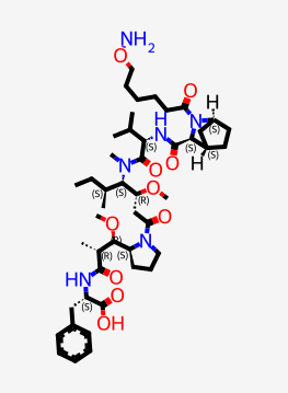 CC[C@H](C)[C@@H]([C@@H](CC(=O)N1CCC[C@H]1[C@H](OC)[C@@H](C)C(=O)N[C@@H](Cc1ccccc1)C(=O)O)OC)N(C)C(=O)[C@@H](NC(=O)[C@@H]1[C@H]2CC[C@@H](C2)N1C(=O)CCCCCON)C(C)C